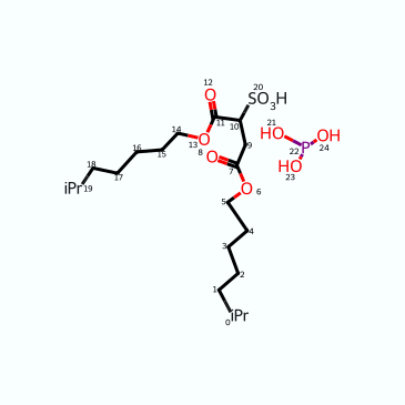 CC(C)CCCCCOC(=O)CC(C(=O)OCCCCCC(C)C)S(=O)(=O)O.OP(O)O